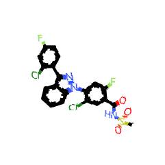 CS(=O)(=O)NC(=O)c1cc(Cl)c(-n2nc(-c3ccc(F)cc3Cl)c3ccccc32)cc1F